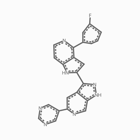 Fc1cccc(-c2nccc3[nH]c(-c4n[nH]c5cnc(-c6cncnc6)cc45)cc23)c1